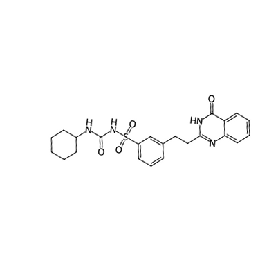 O=C(NC1CCCCC1)NS(=O)(=O)c1cccc(CCc2nc3ccccc3c(=O)[nH]2)c1